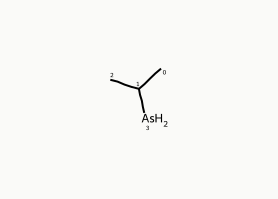 CC(C)[AsH2]